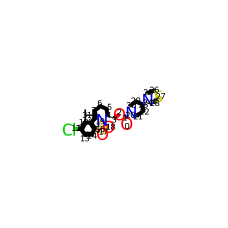 O=C(OC[C@H]1CCC[C@H]2c3cc(Cl)ccc3S(=O)(=O)N12)N1CCC(N2CCSC2)CC1